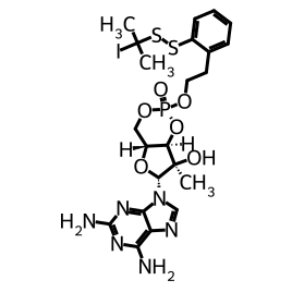 CC(C)(I)SSc1ccccc1CCOP1(=O)OC[C@H]2O[C@@H](n3cnc4c(N)nc(N)nc43)[C@](C)(O)[C@@H]2O1